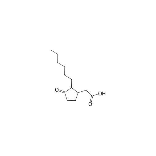 CCCCCCC1C(=O)CCC1CC(=O)O